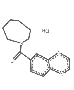 Cl.O=C(c1ccc2nccnc2c1)N1CCCCCC1